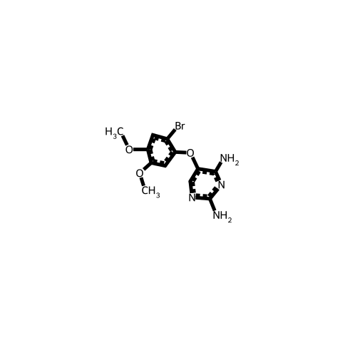 COc1cc(Br)c(Oc2cnc(N)nc2N)cc1OC